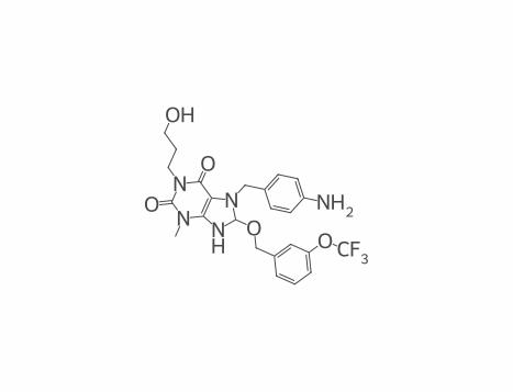 Cn1c2c(c(=O)n(CCCO)c1=O)N(Cc1ccc(N)cc1)C(OCc1cccc(OC(F)(F)F)c1)N2